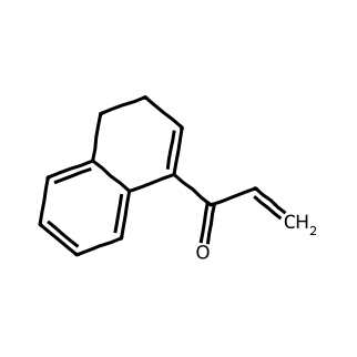 C=CC(=O)C1=CCCc2ccccc21